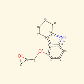 c1cc(OCC2CO2)c2c3c([nH]c2c1)CCCC3